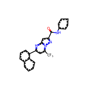 O=C(Nc1ccccc1)c1cc2nc(-c3cccc4ccccc34)cc(C(F)(F)F)n2n1